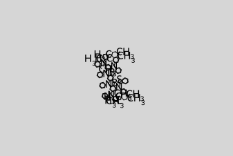 Cc1ccccc1N(c1cc2c3c(c1)N(c1ccccc1)c1cc4c(cc1B3c1ccccc1N2c1ccc2c(c1)C(C)(C)CCC2(C)C)B1c2sc3ccccc3c2N(c2ccc3c(c2)C(C)(C)CCC3(C)C)c2cc(N(c3ccccc3C)c3ccccc3C)cc(c21)N4c1ccccc1)c1ccccc1C